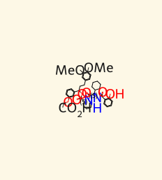 COc1ccc(CCC(OC(=O)[C@@H]2CCCCN2C(=O)[C@@H](NC(=O)c2ccccc2O)C2CCCCC2)c2cccc(OCC(=O)O)c2)cc1OC